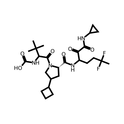 CC(F)(F)CCC(NC(=O)[C@@H]1CC(C2CCC2)CN1C(=O)C(NC(=O)O)C(C)(C)C)C(=O)C(=O)NC1CC1